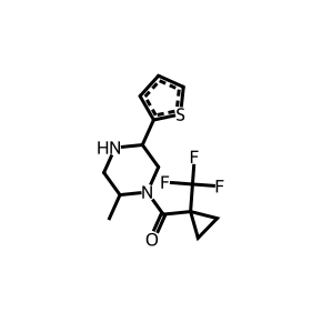 CC1CNC(c2cccs2)CN1C(=O)C1(C(F)(F)F)CC1